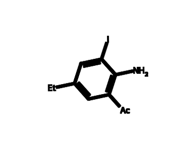 CCc1cc(I)c(N)c(C(C)=O)c1